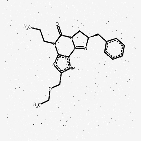 CCCN1C(=O)N2C[C@@H](Cc3ccccc3)N=C2c2[nH]c(COCC)nc21